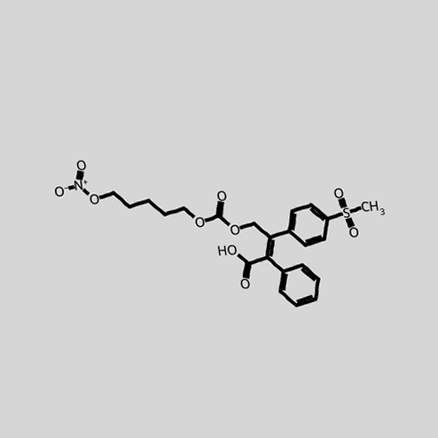 CS(=O)(=O)c1ccc(/C(COC(=O)OCCCCCO[N+](=O)[O-])=C(/C(=O)O)c2ccccc2)cc1